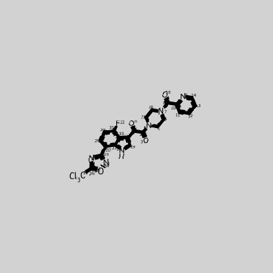 O=C(C(=O)N1CCN(C(=O)c2ccccn2)CC1)c1c[nH]c2c(-c3noc(C(Cl)(Cl)Cl)n3)ccc(F)c12